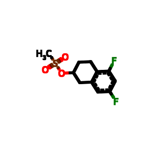 CS(=O)(=O)OC1CCc2c(F)cc(F)cc2C1